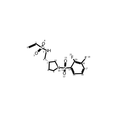 C=CS(=O)(=O)NC[C@H]1CCN(S(=O)(=O)c2cccc(F)c2F)C1